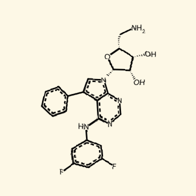 NC[C@H]1O[C@@H](n2cc(-c3ccccc3)c3c(Nc4cc(F)cc(F)c4)ncnc32)[C@@H](O)[C@H]1O